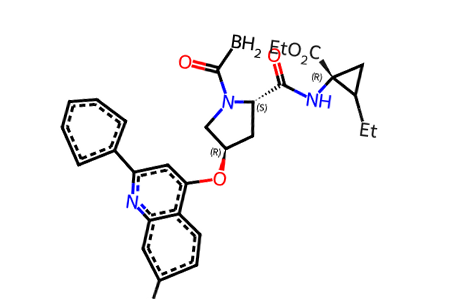 BC(=O)N1C[C@H](Oc2cc(-c3ccccc3)nc3cc(OC)ccc23)C[C@H]1C(=O)N[C@]1(C(=O)OCC)CC1CC